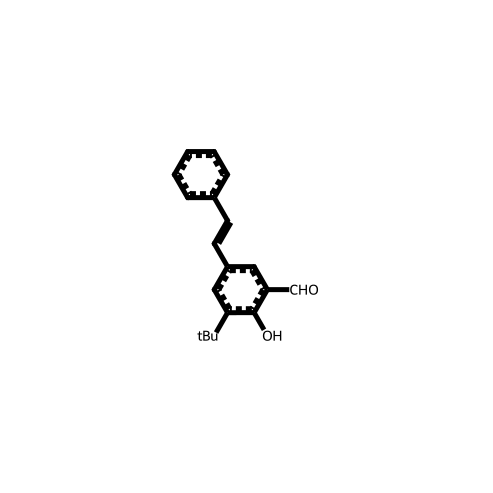 CC(C)(C)c1cc(C=Cc2ccccc2)cc(C=O)c1O